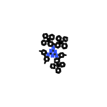 Cc1ccc2c(c1)c1cc(C)ccc1n2-c1nc(-n2c3ccc(C)cc3c3cc([Si](c4ccccc4)(c4ccccc4)c4ccccc4)ccc32)nc(-n2c3ccc([Si](c4ccccc4)(c4ccccc4)c4ccccc4)cc3c3cc([Si](c4ccccc4)(c4ccccc4)c4ccccc4)ccc32)n1